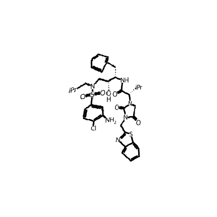 CC(C)CN(C[C@@H](O)[C@H](Cc1ccccc1)NC(=O)[C@H](C(C)C)N1CC(=O)N(Cc2nc3ccccc3s2)C1=O)S(=O)(=O)c1ccc(Cl)c(N)c1